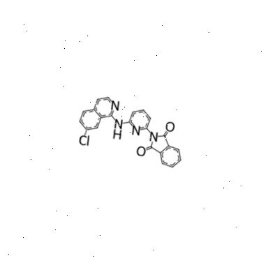 O=C1c2ccccc2C(=O)N1c1cccc(Nc2nccc3ccc(Cl)cc23)n1